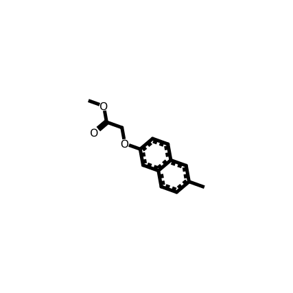 COC(=O)COc1ccc2cc(C)ccc2c1